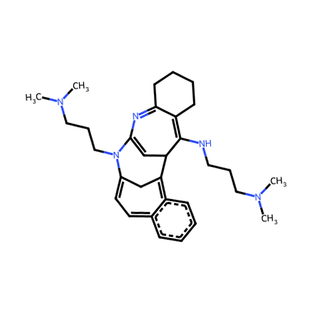 CN(C)CCCNC1=C2CCCCC2=NC2=CC1C1=c3ccccc3=CC=C(C1)N2CCCN(C)C